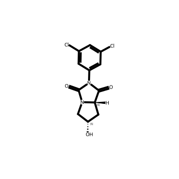 O=C1[C@@H]2C[C@H](O)CN2C(=O)N1c1cc(Cl)cc(Cl)c1